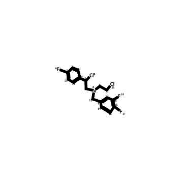 Fc1ccc(C(Cl)CN(CCCl)Cc2ccc(F)c(F)c2)cc1